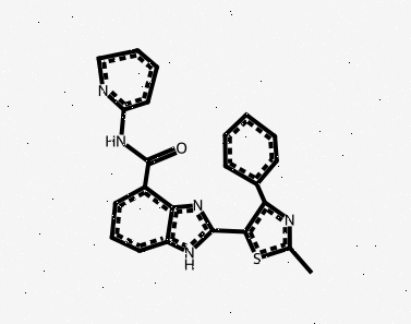 Cc1nc(-c2ccccc2)c(-c2nc3c(C(=O)Nc4ccccn4)cccc3[nH]2)s1